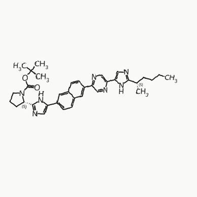 CCCC[C@H](C)c1ncc(-c2cnc(-c3ccc4cc(-c5cnc([C@@H]6CCCN6C(=O)OC(C)(C)C)[nH]5)ccc4c3)cn2)[nH]1